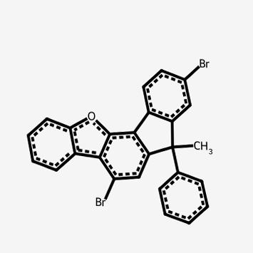 CC1(c2ccccc2)c2cc(Br)ccc2-c2c1cc(Br)c1c2oc2ccccc21